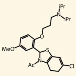 COc1ccc(OCCCN(C(C)C)C(C)C)c(C2SC3=C(CCC(Cl)=C3)N2C(C)=O)c1